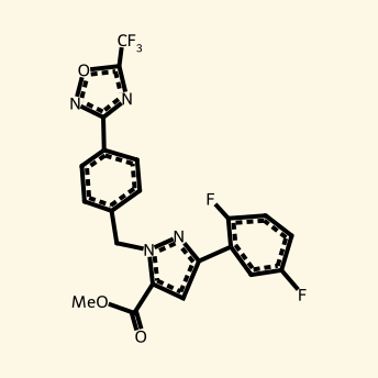 COC(=O)c1cc(-c2cc(F)ccc2F)nn1Cc1ccc(-c2noc(C(F)(F)F)n2)cc1